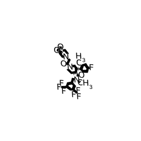 Cc1cc(F)ccc1[C@@H]1CN(C(=O)CN2CCS(=O)(=O)CC2)CC[C@H]1C(=O)N(C)Cc1cc(C(F)(F)F)cc(C(F)(F)F)c1